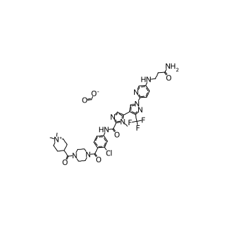 Cn1c(-c2cn(-c3ccc(NCCC(N)=O)cn3)nc2C(F)(F)F)cnc1C(=O)Nc1ccc(C(=O)N2CCN(C(=O)C3CC[N+](C)(C)CC3)CC2)c(Cl)c1.O=C[O-]